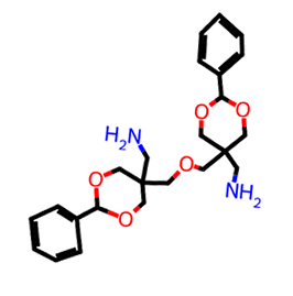 NCC1(COCC2(CN)COC(c3ccccc3)OC2)COC(c2ccccc2)OC1